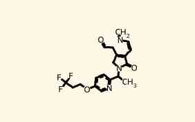 C=N/C=C\C1=C(CC=O)CN(C(C)c2ccc(OCCC(F)(F)F)cn2)C1=O